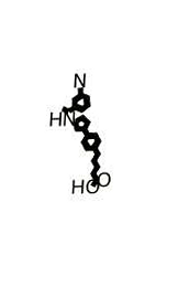 CC(NC1CCC(c2ccc(CCCCC(=O)O)cc2)C1)c1cccc(C#N)c1